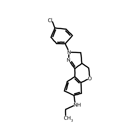 CCNc1ccc2c(c1)OCC1CN(c3ccc(Cl)cc3)N=C21